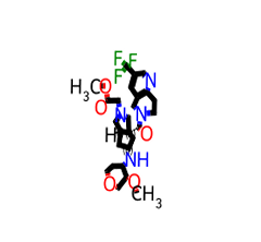 COC(=O)CN1C[C@@H]2C[C@@H](NC3CCOCC3OC)C[C@]2(C(=O)N2CCc3ncc(C(F)(F)F)cc3C2)C1